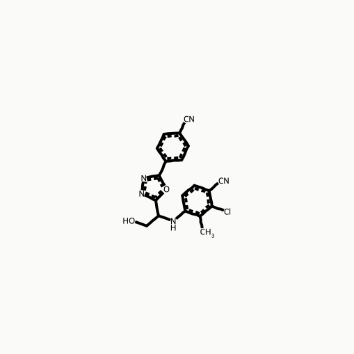 Cc1c(NC(CO)c2nnc(-c3ccc(C#N)cc3)o2)ccc(C#N)c1Cl